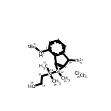 CC(C)(C)Nc1cccc2c1C1=C([CH]2[Ti+2])[Si]1(C)[Si](C)(C)CCO.[Cl-].[Cl-]